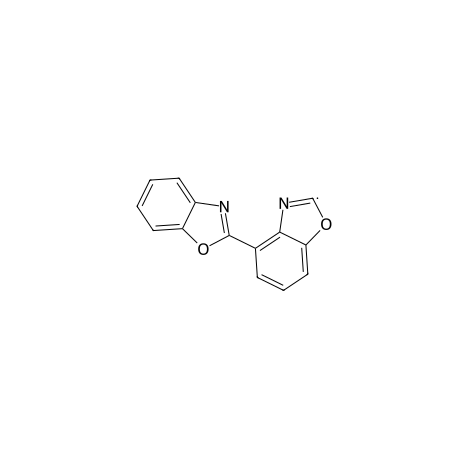 [c]1nc2c(-c3nc4ccccc4o3)cccc2o1